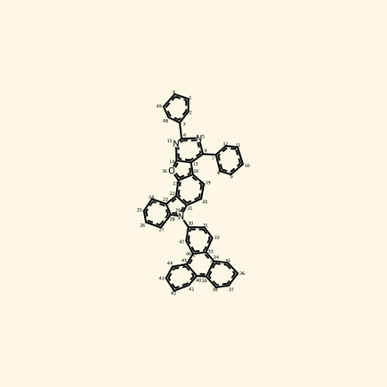 c1ccc(-c2nc(-c3ccccc3)c3c(n2)oc2c3ccc3c2c2ccccc2n3-c2ccc3c4ccccc4c4ccccc4c3c2)cc1